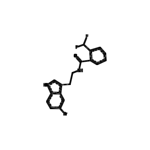 O=C(NCCc1c[nH]c2ccc(Br)cc12)c1ccccc1C(F)F